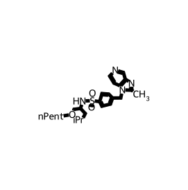 CCCCCOCC(CC(C)C)NS(=O)(=O)c1ccc(Cn2c(C)nc3cnccc32)cc1